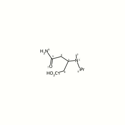 CC(C)N(C)C(CC(N)=O)CC(=O)O